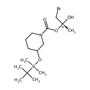 CC(C)(C)[Si](C)(C)OC1CCCN(C(=O)O[C@@](C)(O)CBr)C1